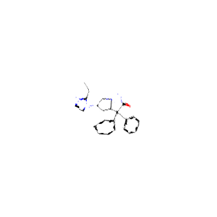 CCc1nccn1[C@H]1CCC(C(C(N)=O)(c2ccccc2)c2ccccc2)C1